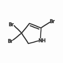 BrC1=CC(Br)(Br)CN1